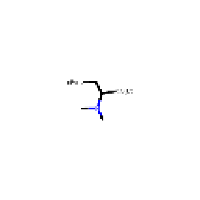 CCCCCCC(C(=O)OCC)N(C)C